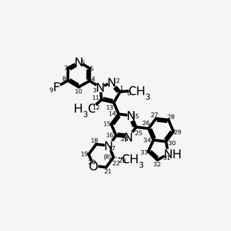 Cc1nn(-c2cncc(F)c2)c(C)c1-c1cc(N2CCOC[C@H]2C)nc(-c2cccc3[nH]ccc23)n1